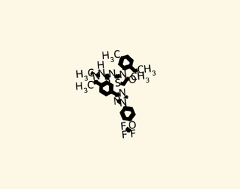 Cc1ccc(C(C)C)c(N2C(=O)CS/C2=N\C(=S)NN(C)C(C)c2ccc(-c3ncn(-c4ccc(OC(F)(F)F)cc4)n3)cc2)c1